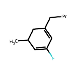 CC(C)CC1=CC(F)=CC(C)C1